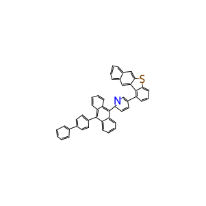 c1ccc(-c2ccc(-c3c4ccccc4c(-c4ccc(-c5cccc6sc7cc8ccccc8cc7c56)cn4)c4ccccc34)cc2)cc1